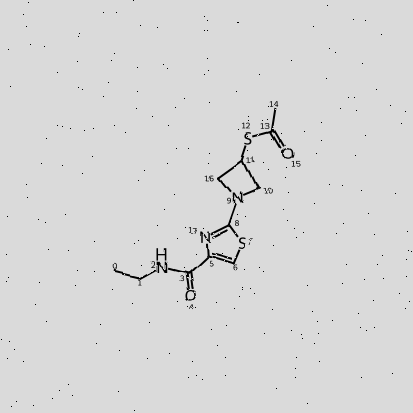 CCNC(=O)c1csc(N2CC(SC(C)=O)C2)n1